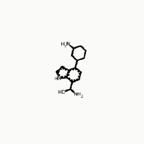 NC1CCCC(c2ccc(C(N)O)c3[nH]ccc23)C1